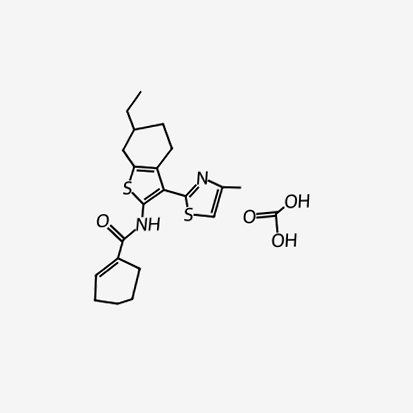 CCC1CCc2c(sc(NC(=O)C3=CCCCC3)c2-c2nc(C)cs2)C1.O=C(O)O